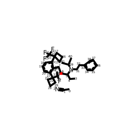 CC#N.CCC(CCc1c(C2(C(F)(F)F)CCC2)cccc1C1(C(F)(F)F)CCC1)N(CCc1ccccc1)C(C)C